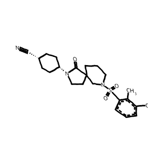 Cc1c(Cl)cccc1S(=O)(=O)N1CCCC2(CCN([C@H]3CC[C@@H](C#N)CC3)C2=O)C1